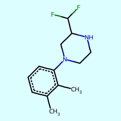 Cc1cccc(N2CCNC(C(F)F)C2)c1C